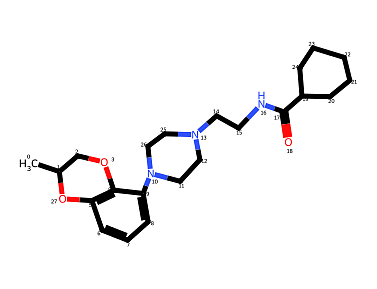 CC1COc2c(cccc2N2CCN(CCNC(=O)C3CCCCC3)CC2)O1